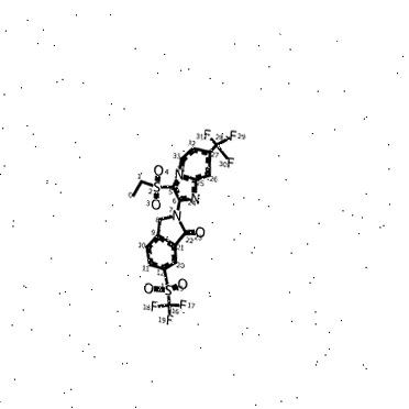 CCS(=O)(=O)c1c(N2Cc3ccc(S(=O)(=O)C(F)(F)F)cc3C2=O)nc2cc(C(F)(F)F)ccn12